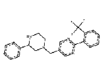 FC(F)(F)c1ccccc1-c1ncc(CN2CCNC(c3ccccc3)C2)cn1